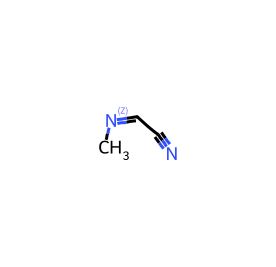 C/N=C\C#N